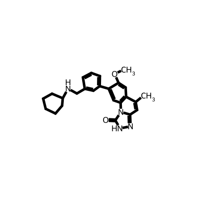 COc1cc2c(C)cc3n[nH]c(=O)n3c2cc1-c1cccc(CNC2CCCCC2)c1